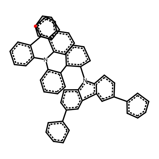 c1ccc(-c2ccc3c(c2)c2cc(-c4ccccc4)ccc2n3-c2ccccc2-c2ccccc2N(c2ccccc2-c2ccccc2)c2cccc3ccccc23)cc1